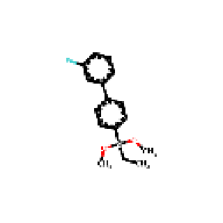 CC[Si](OC)(OC)c1ccc(-c2cccc(F)c2)cc1